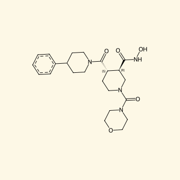 O=C(NO)[C@H]1CN(C(=O)N2CCOCC2)CC[C@@H]1C(=O)N1CCC(c2ccccc2)CC1